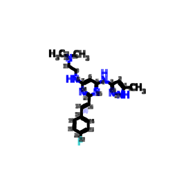 Cc1cc(Nc2cc(NCCN(C)C)nc(/C=C/c3ccc(F)cc3)n2)n[nH]1